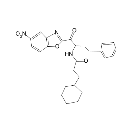 O=C(CCC1CCCCC1)N[C@@H](CCc1ccccc1)C(=O)c1nc2cc([N+](=O)[O-])ccc2o1